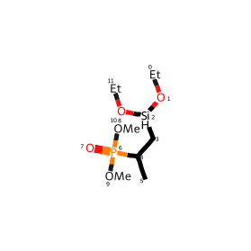 CCO[SiH](CC(C)P(=O)(OC)OC)OCC